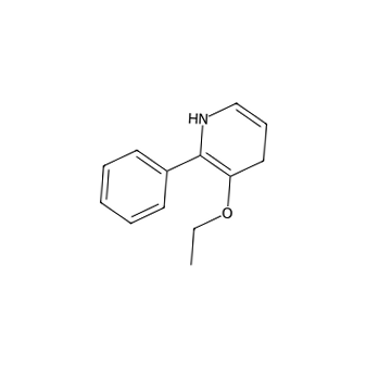 CCOC1=C(c2ccccc2)NC=CC1